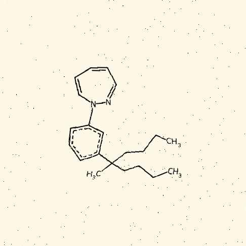 CCCCC(C)(CCCC)c1cccc(N2C=CC=CC=N2)c1